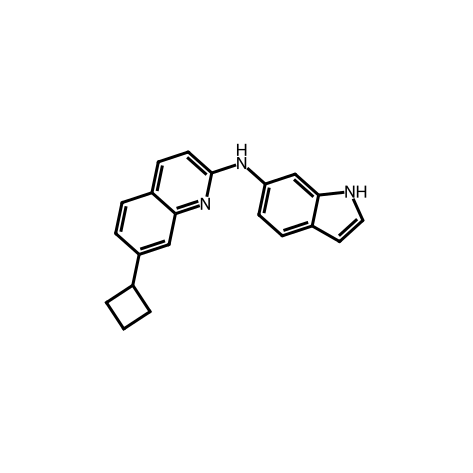 c1cc2ccc(Nc3ccc4ccc(C5CCC5)cc4n3)cc2[nH]1